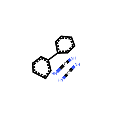 N=C=N.N=C=N.c1ccc(-c2ccccc2)cc1